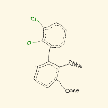 COc1cc[c]c(-c2cccc(Cl)c2Cl)c1OC